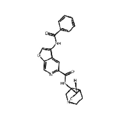 O=C(Nc1coc2cnc(C(=O)N[C@H]3CN4CCC3CC4)cc12)c1ccccc1